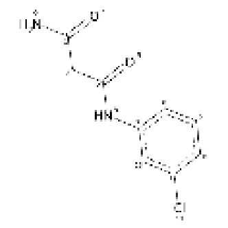 NC(=O)CC(=O)Nc1cccc(Cl)c1